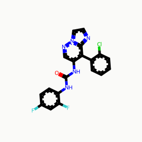 O=C(Nc1ccc(F)cc1F)Nc1cnn2ccnc2c1-c1ccccc1Cl